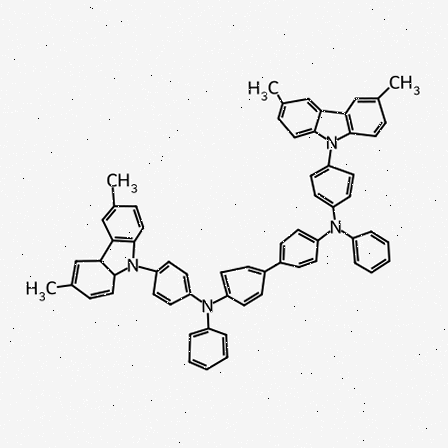 CC1=CC2c3cc(C)ccc3N(c3ccc(N(c4ccccc4)c4ccc(-c5ccc(N(c6ccccc6)c6ccc(-n7c8ccc(C)cc8c8cc(C)ccc87)cc6)cc5)cc4)cc3)C2C=C1